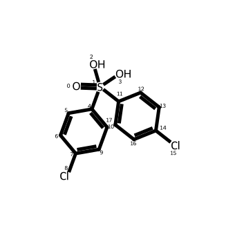 O=S(O)(O)(c1ccc(Cl)cc1)c1ccc(Cl)cc1